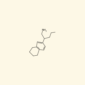 CCCC(CN)c1ccc2c(c1)CCCC2